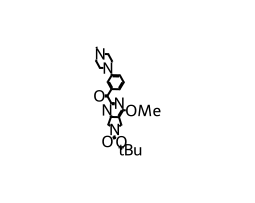 COc1nc(C(=O)c2cccc(N3CCN(C)CC3)c2)nc2c1CN(C(=O)OC(C)(C)C)C2